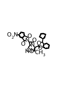 CC(O)C(C(=O)OC(c1ccccc1)c1ccccc1)N1C(=O)C(N2C(=O)c3ccc([N+](=O)[O-])cc3C2=O)C1CO